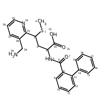 CSC(CC(NC(=O)c1ccccc1-c1ccccc1)C(=O)O)c1ncccc1CN